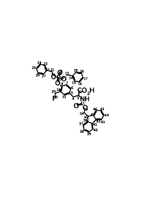 O=C(NC(Cc1ccc(OP(=O)(OCc2ccccc2)OCc2ccccc2)c(CF)c1)C(=O)O)OCC1c2ccccc2-c2ccccc21